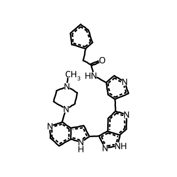 CN1CCN(c2nccc3[nH]c(-c4n[nH]c5cnc(-c6cncc(NC(=O)Cc7ccccc7)c6)cc45)cc23)CC1